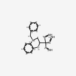 N=NC(N=N)(N=N)C1CN(Cc2ccccc2)c2ccccc2O1